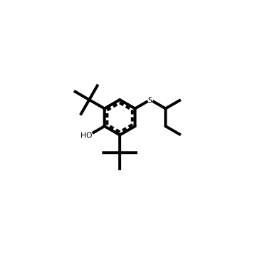 CCC(C)Sc1cc(C(C)(C)C)c(O)c(C(C)(C)C)c1